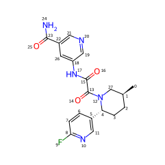 C[C@H]1CC[C@H](c2ccc(F)nc2)N(C(=O)C(=O)Nc2cncc(C(N)=O)c2)C1